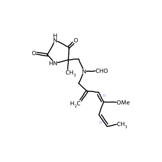 C=C(/C=C(\C=C/C)OC)CN(C=O)CC1(C)NC(=O)NC1=O